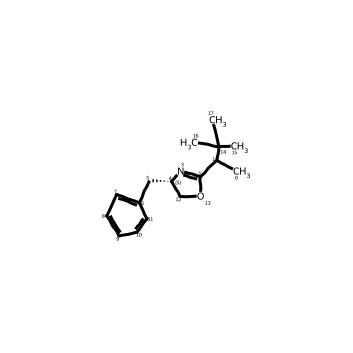 CC(C1=N[C@@H](Cc2ccccc2)CO1)C(C)(C)C